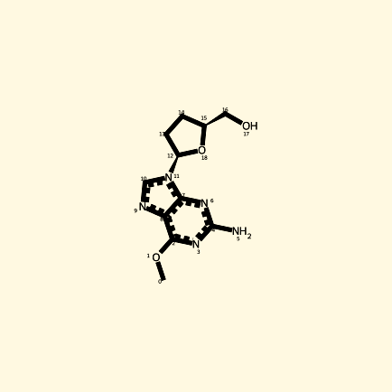 COc1nc(N)nc2c1ncn2[C@H]1CC[C@@H](CO)O1